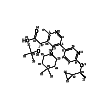 Cc1ncc(-c2ccc(O[C@@H](C)C3CC3)nc2)c(N2CCC(C)(C)CC2)c1[C@H](OC(C)(C)C)C(=O)O